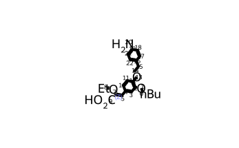 CCCCOc1cc(/C=C(\OCC)C(=O)O)ccc1OCCc1ccc(N)cc1